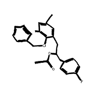 CC(=O)OC(Cc1cc(C)cc(C)c1OCc1ccccc1)c1ccc(F)cc1